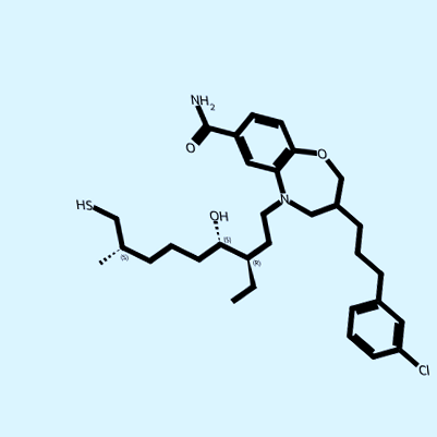 CC[C@H](CCN1CC(CCCc2cccc(Cl)c2)COc2ccc(C(N)=O)cc21)[C@@H](O)CCC[C@H](C)CS